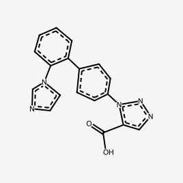 O=C(O)c1cnnn1-c1ccc(-c2ccccc2-n2ccnc2)cc1